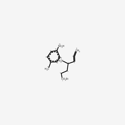 C=C=CC(N)CCC(=O)OCC.Cc1ccc(S(=O)(=O)O)cc1